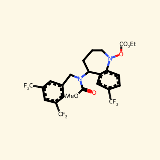 CCOC(=O)ON1CCCC(N(Cc2cc(C(F)(F)F)cc(C(F)(F)F)c2)C(=O)OC)c2cc(C(F)(F)F)ccc21